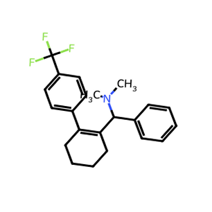 CN(C)C(C1=C(c2ccc(C(F)(F)F)cc2)CCCC1)c1ccccc1